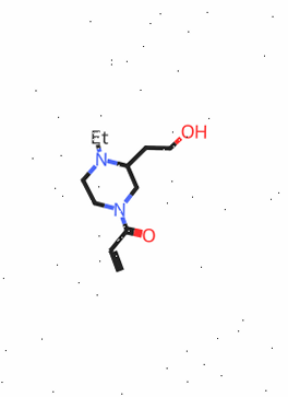 C=CC(=O)N1CCN(CC)C(CCO)C1